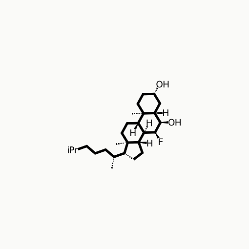 CC(C)CCC[C@@H](C)[C@H]1CC[C@H]2[C@@H]3[C@H](F)[C@H](O)[C@H]4C[C@@H](O)CC[C@]4(C)[C@H]3CC[C@]12C